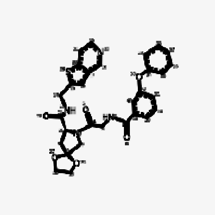 O=C(NCC(=O)N1CC2(C[C@H]1C(=O)NCc1cc3cnccc3s1)OCCO2)c1cccc(Oc2ccccc2)c1